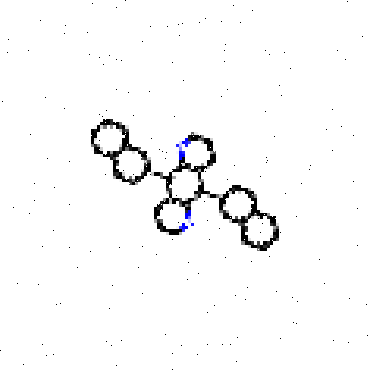 c1ccc2cc(-c3c4cccnc4c(-c4ccc5ccccc5c4)c4cccnc34)ccc2c1